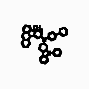 CC12CC=C(N(c3ccc(C4=CC=CCC4)cc3)C3C=Cc4c(n(-c5ccccc5)c5ccccc45)C3)C=C1C1c3c(cccc32)C=C2C=CC=CC21